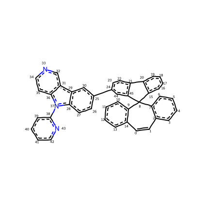 C1=Cc2ccccc2C2(c3ccccc31)c1ccccc1-c1ccc(-c3ccc4c(c3)c3cnccc3n4-c3ccccn3)cc12